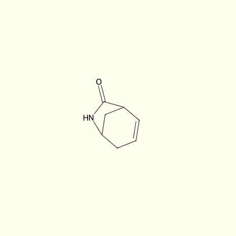 O=C1NC2CC=CC1C2